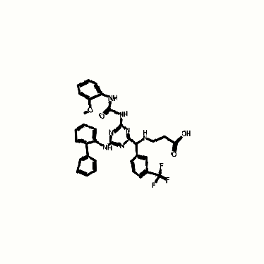 COc1ccccc1NC(=O)Nc1nc(Nc2ccccc2-c2ccccc2)nc(C(NCCC(=O)O)c2cccc(C(F)(F)F)c2)n1